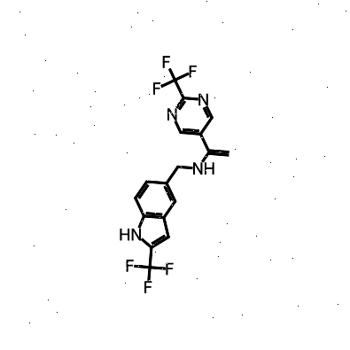 C=C(NCc1ccc2[nH]c(C(F)(F)F)cc2c1)c1cnc(C(F)(F)F)nc1